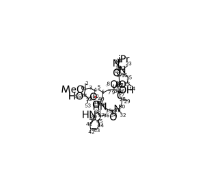 CO[C@]1(C)C[C@H](C[C@H]2[C@H](C)[C@@H](O[C@@H]3O[C@H](C)CC4C3O/C(=N/C(C)C)N4C)[C@](C)(O)C[C@@H](C)CN(C)C(=O)[C@H](Cc3c[nH]c4ccccc34)NC(=O)[C@@H]2C)O[C@@H](C)[C@@H]1O